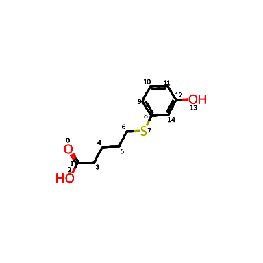 O=C(O)CCCCSc1cccc(O)c1